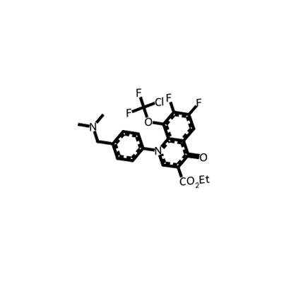 CCOC(=O)c1cn(-c2ccc(CN(C)C)cc2)c2c(OC(F)(F)Cl)c(F)c(F)cc2c1=O